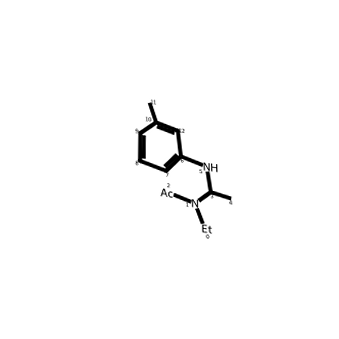 CCN(C(C)=O)C(C)Nc1cccc(C)c1